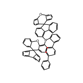 c1ccc(-c2ccc(-c3ccccc3N(c3cccc4c3Oc3ccccc3C43c4ccccc4-c4ccccc43)c3cccc4c3-c3ccccc3C43c4ccccc4Oc4ccccc43)cc2)cc1